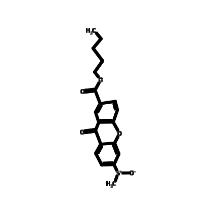 CCCCCOC(=O)c1ccc2oc3cc([S+](C)[O-])ccc3c(=O)c2c1